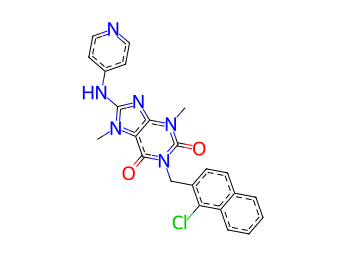 Cn1c(Nc2ccncc2)nc2c1c(=O)n(Cc1ccc3ccccc3c1Cl)c(=O)n2C